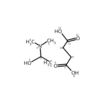 CC(O)N(C)C.O=C(O)CCC(=O)O